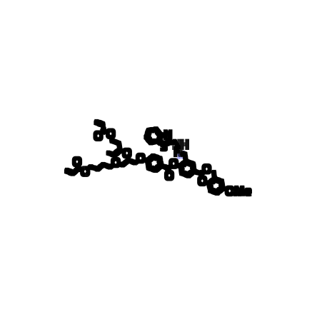 C=CC(=O)OCCCCOCC(COc1ccc(C(=O)Oc2ccc(C(=O)Oc3ccc(OC)cc3C)cc2/C=N/Nc2nc3ccccc3s2)cc1)OC(=CC)CCOC(=O)C=C